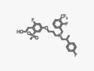 CC(CN(CCCOc1cc(F)c(CCO)c(S(C)(=O)=O)c1)Cc1cccc(C(F)(F)F)c1F)c1ccc(F)cc1